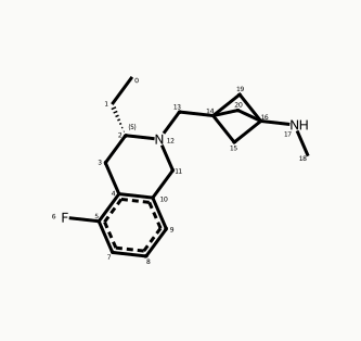 CC[C@H]1Cc2c(F)cccc2CN1CC12CC(NC)(C1)C2